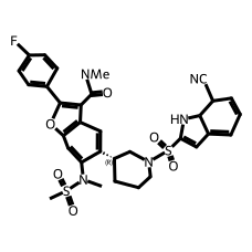 CNC(=O)c1c(-c2ccc(F)cc2)oc2cc(N(C)S(C)(=O)=O)c([C@H]3CCCN(S(=O)(=O)C4=CC5=CC=CC(C#N)C5N4)C3)cc12